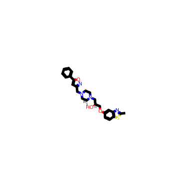 Cc1nc2cc(OC[C@@H](O)CN3CCN(Cc4cc(-c5ccccc5)on4)C[C@H]3C)ccc2s1